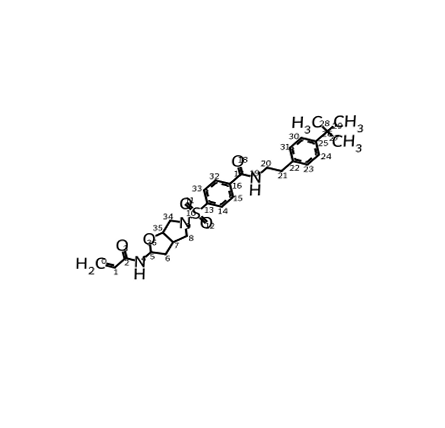 C=CC(=O)NC1CC2CN(S(=O)(=O)c3ccc(C(=O)NCCc4ccc(C(C)(C)C)cc4)cc3)CC2O1